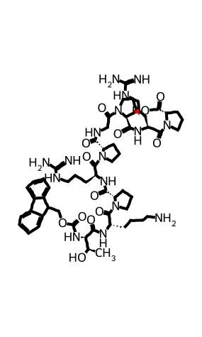 C[C@@H](O)[C@H](NC(=O)OCC1c2ccccc2-c2ccccc21)C(=O)N[C@@H](CCCCN)C(=O)N1CCC[C@H]1C(=O)N[C@@H](CCCNC(=N)N)C(=O)N1CCC[C@H]1C(=O)NCC(=O)N1CCC[C@H]1C(=O)N[C@@H](CCCNC(=N)N)C(=O)N1CCC[C@H]1C(=O)O